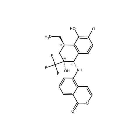 CC[C@@H]1C[C@](O)(C(F)(F)F)[C@@H](Nc2cccc3c(=O)occc23)c2ccc(Cl)c(O)c21